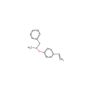 C=Cc1ccc(OC(C)Cc2ccccc2)cc1